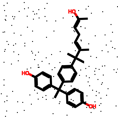 C/C(O)=C\C/C=C(\C)C(C)(C)c1ccc(C(C)(c2ccc(O)cc2)c2ccc(O)cc2)cc1